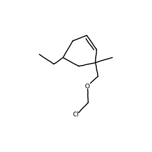 CCC1CC=CC(C)(COCCl)C1